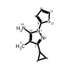 Cc1c(C2CC2)nn(-c2cccs2)c1N